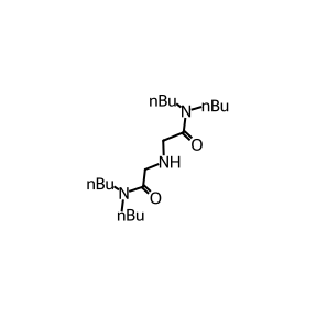 CCCCN(CCCC)C(=O)CNCC(=O)N(CCCC)CCCC